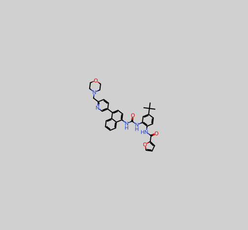 CC(C)(C)c1ccc(NC(=O)c2ccco2)c(NC(=O)Nc2ccc(-c3ccc(CN4CCOCC4)nc3)c3ccccc23)c1